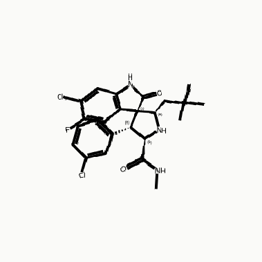 CNC(=O)[C@@H]1N[C@H](CC(C)(C)C)[C@]2(C(=O)Nc3cc(Cl)c(F)cc32)[C@H]1c1cccc(Cl)c1